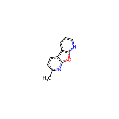 Cc1ccc2c(n1)oc1ncccc12